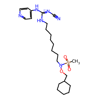 CS(=O)(=O)N(CCCCCCCCN/C(=N\C#N)Nc1ccncc1)OCC1CCCCC1